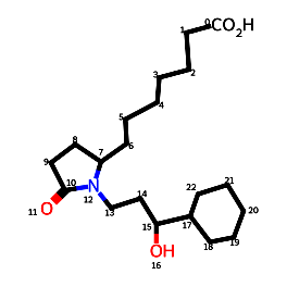 O=C(O)CCCCCCC1CCC(=O)N1CCC(O)C1CCCCC1